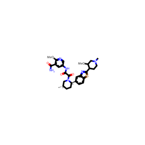 COc1ncc(NC(=O)C(=O)N2C[C@@H](C)CC[C@@H]2c2ccc3sc(C4CCN(C)CC4OC)nc3c2)cc1C(N)=O